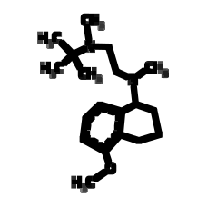 COc1cccc2c1CCCC2N(C)CCN(C)C(C)(C)C